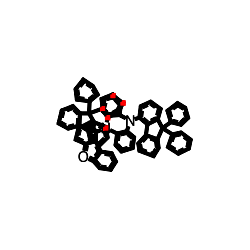 c1ccc(N(c2ccccc2N(c2cccc(C3(c4ccccc4)c4ccccc4-c4ccccc43)c2)c2cccc3c2-c2ccccc2C3(c2ccccc2)c2ccccc2)c2cccc3oc4ccccc4c23)cc1